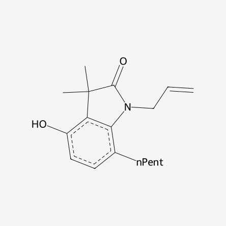 C=CCN1C(=O)C(C)(C)c2c(O)ccc(CCCCC)c21